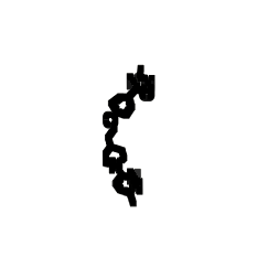 Cc1ccc(N2CCC(CCOc3ccc(-c4nc(C)no4)cc3)CC2)nn1